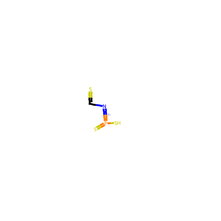 S=C/N=P(=S)/S